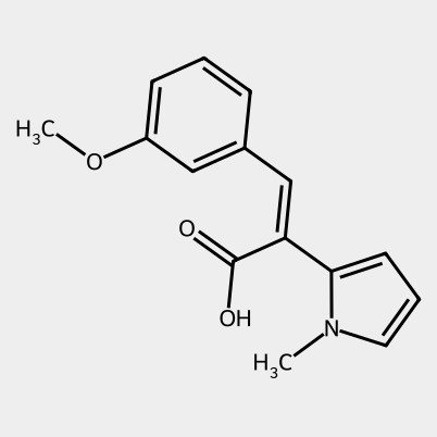 COc1cccc(C=C(C(=O)O)c2cccn2C)c1